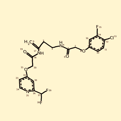 C=C(CCNC(=O)COc1ccc(Cl)c(F)c1)NC(=O)COc1ccnc(C(F)F)c1